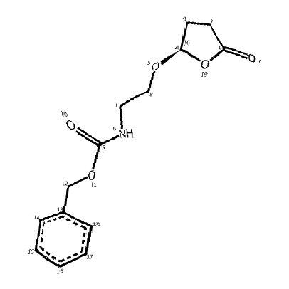 O=C1CC[C@H](OCCNC(=O)OCc2ccccc2)O1